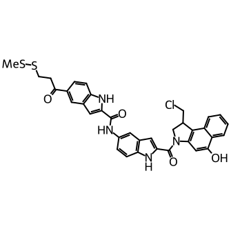 CSSCCC(=O)c1ccc2[nH]c(C(=O)Nc3ccc4[nH]c(C(=O)N5CC(CCl)c6c5cc(O)c5ccccc65)cc4c3)cc2c1